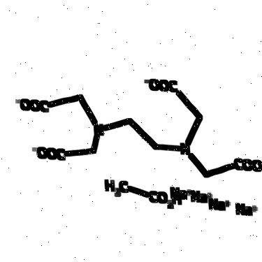 CC(=O)O.O=C([O-])CN(CCN(CC(=O)[O-])CC(=O)[O-])CC(=O)[O-].[Na+].[Na+].[Na+].[Na+]